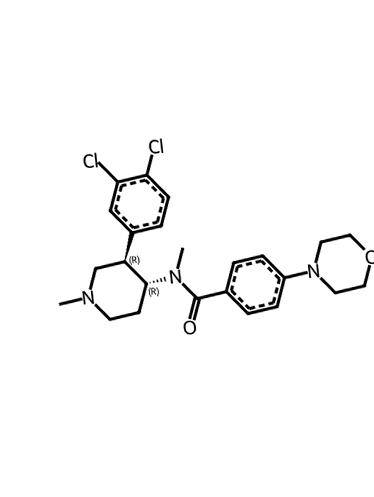 CN1CC[C@@H](N(C)C(=O)c2ccc(N3CCOCC3)cc2)[C@H](c2ccc(Cl)c(Cl)c2)C1